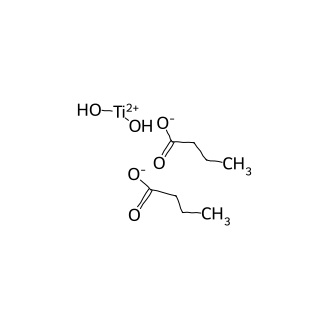 CCCC(=O)[O-].CCCC(=O)[O-].[OH][Ti+2][OH]